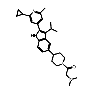 Cc1cc(-c2[nH]c3ccc(C4CCN(C(=O)CN(C)C)CC4)cc3c2C(C)C)cc(C2CC2)n1